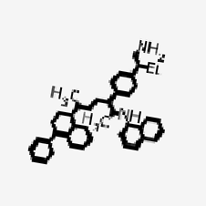 CCC(CN)C1CCC(C(CCC(C)C2CCC(C3C=CC=CC3)C3C=CCCC32)C(C)NC2C=CC=C3C=CCCC32)CC1